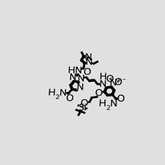 CCn1nc(C)cc1C(=O)Nc1nc2cc(C(N)=O)cnc2n1CC=CCNc1c(OCCCO[Si](C)(C)C(C)(C)C)cc(C(N)=O)cc1[N+](=O)[O-]